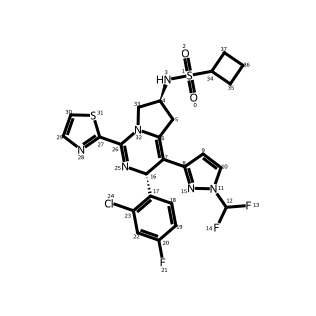 O=S(=O)(N[C@H]1CC2=C(c3ccn(C(F)F)n3)[C@H](c3ccc(F)cc3Cl)N=C(c3nccs3)N2C1)C1CCC1